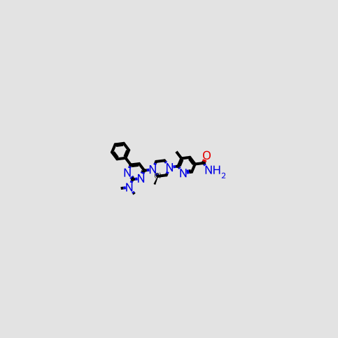 Cc1cc(C(N)=O)cnc1N1CCN(c2cc(-c3ccccc3)nc(N(C)C)n2)[C@H](C)C1